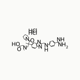 CN(CC(=O)O)CC(C)(C(=O)N1CCCC1)c1ccc2c(c1)nc(CNc1ccc(C(=N)N)cc1)n2C.Cl.Cl